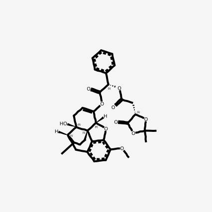 COc1ccc2c3c1O[C@H]1C(OC(=O)[C@@H](OC(=O)C[C@@H]4OC(C)(C)OC4=O)c4ccccc4)=CC[C@@]4(O)[C@@H](C2)C(C)CC[C@]314